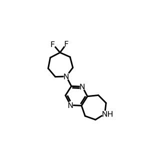 FC1(F)CCCN(c2cnc3c(n2)CCNCC3)CC1